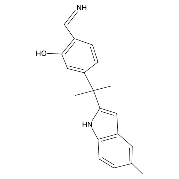 Cc1ccc2[nH]c(C(C)(C)c3ccc(C=N)c(O)c3)cc2c1